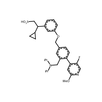 COc1cc(-c2ccc(COc3cccc(C(CS(=O)(=O)O)C4CC4)c3)cc2CN(C(C)C)C(C)C)c(F)cn1